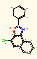 Clc1cc2ccccc2c2nc(C3=CC=CCC3)oc12